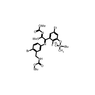 CCc1cc(O[Si](C)(C)C(C)(C)C)c(F)c(C(=Nc2ccc(Br)c(CNC(=O)OC(C)(C)C)c2)C(=NC(=O)OC)SC)c1